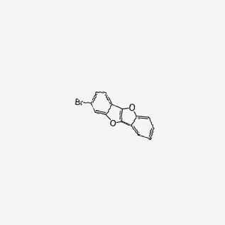 Brc1ccc2c(c1)oc1c3ccccc3oc21